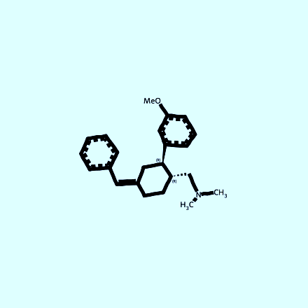 COc1cccc([C@@H]2CC(=Cc3ccccc3)CC[C@H]2CN(C)C)c1